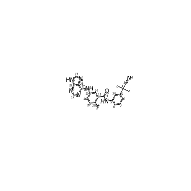 CC(C)(C#N)c1cccc(NC(=O)c2cc(Nc3ncnc4[nH]cnc34)ccc2F)c1